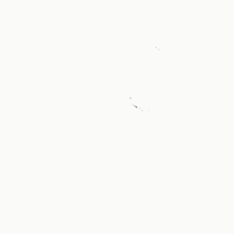 NCCC[C@@H](N)C(=O)Oc1cccc2ccccc12